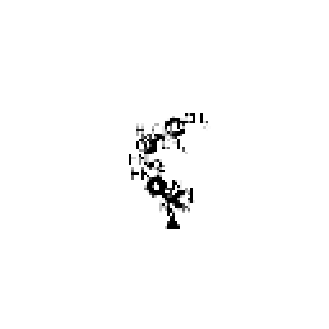 CN1CCN(C(C)(C)c2cc(NC(=O)Nc3ccc(-c4nn(C5CC5)c5ncnc(N)c45)cc3F)on2)CC1